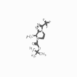 CC1c2nnc(C(F)(F)F)n2CCN1C(=O)OC(C)(C)C